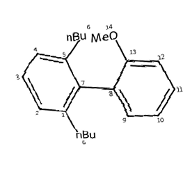 CCCCc1cccc(CCCC)c1-c1ccccc1OC